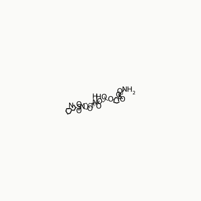 NC(=O)CS(=O)(=O)c1cccc(OCC(O)COC(=O)N[C@H]2COC3(CCN(S(=O)(=O)c4cnc5ccccc5c4)CC3)C2)c1